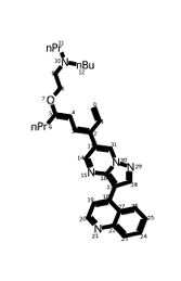 C=C/C(=C\C=C(/CCC)OCCN(CCC)CCCC)c1cnc2c(-c3ccnc4ccccc34)cnn2c1